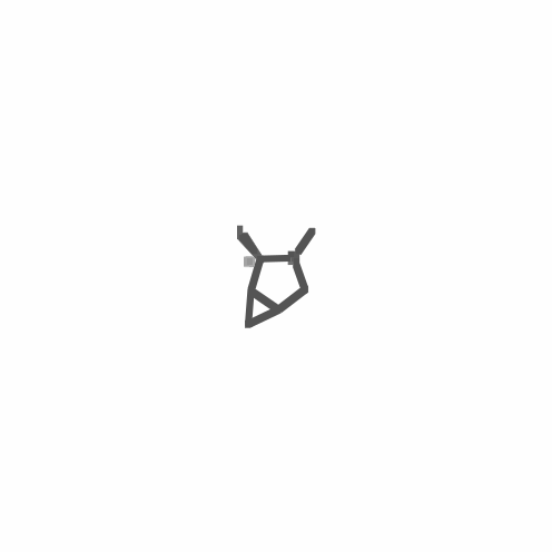 CN1CC2CC2[C@H]1I